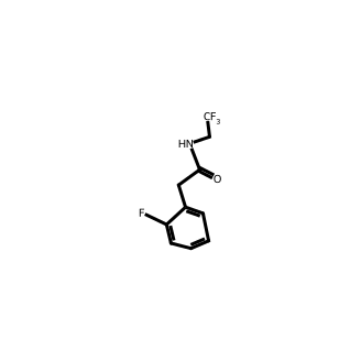 O=C(Cc1ccccc1F)NCC(F)(F)F